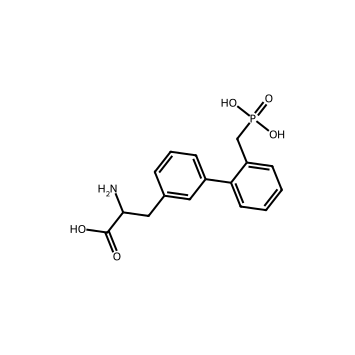 NC(Cc1cccc(-c2ccccc2CP(=O)(O)O)c1)C(=O)O